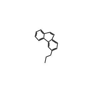 CCCc1ccc2ccc3ccccc3c2c1